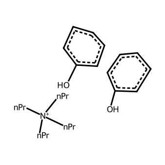 CCC[N+](CCC)(CCC)CCC.Oc1ccccc1.Oc1ccccc1